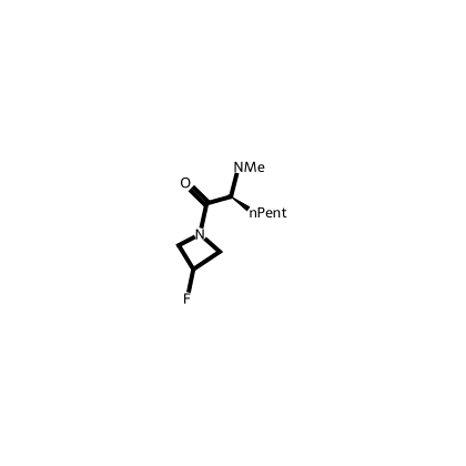 CCCCC[C@H](NC)C(=O)N1CC(F)C1